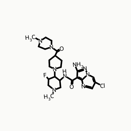 CN1CCN(C(=O)C2CCN(C3C(F)CN(C)CC3NC(=O)c3c(N)nn4cc(Cl)cnc34)CC2)CC1